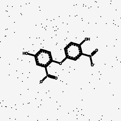 O=[N+]([O-])c1cc(Oc2ccc(O)cc2[N+](=O)[O-])ccc1O